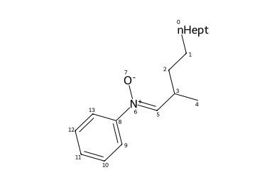 CCCCCCCCCC(C)C=[N+]([O-])c1ccccc1